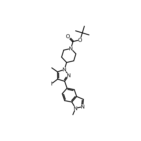 Cc1c(I)c(-c2ccc3c(cnn3C)c2)nn1C1CCN(C(=O)OC(C)(C)C)CC1